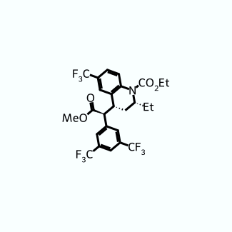 CCOC(=O)N1c2ccc(C(F)(F)F)cc2[C@@H]([C@H](C(=O)OC)c2cc(C(F)(F)F)cc(C(F)(F)F)c2)C[C@H]1CC